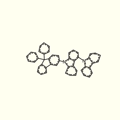 c1ccc(C2(c3ccccc3)c3ccccc3-c3cc(-n4c5ccccc5c5c(-n6c7ccccc7c7ccccc76)cccc54)ccc32)cc1